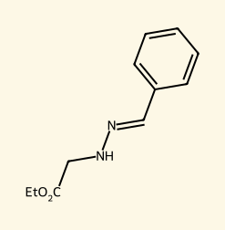 CCOC(=O)CNN=Cc1ccccc1